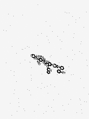 CC(C)c1ccccc1[C@@H]1CCCC[C@@H]1N1CC2(CCN(c3ccc(C(=O)NS(=O)(=O)c4cc([NH+](C)[O-])c(NCC5CCOCC5)c5[nH]cnc45)c(Oc4cnc5c(c4)C=CC5)c3)CC2)C1